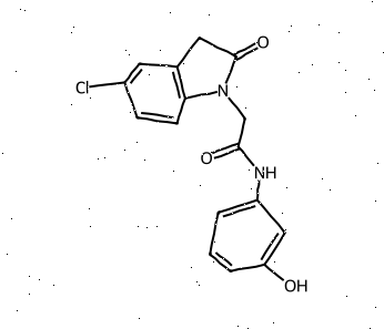 O=C(CN1C(=O)Cc2cc(Cl)ccc21)Nc1cccc(O)c1